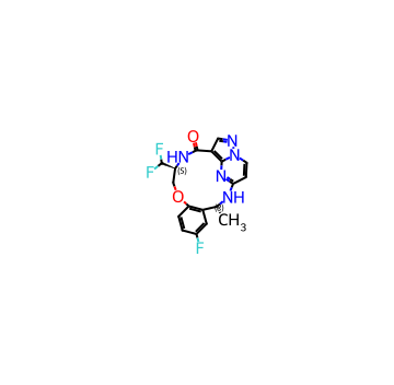 C[C@H]1Nc2ccn3ncc(c3n2)C(=O)N[C@H](C(F)F)COc2ccc(F)cc21